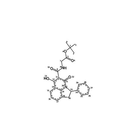 CC(C)(C)OC(=O)CNC(=O)c1c(O)c2cccc3c2n(c1=O)C(c1ccccc1)C3